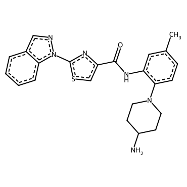 Cc1ccc(N2CCC(N)CC2)c(NC(=O)c2csc(-n3ncc4ccccc43)n2)c1